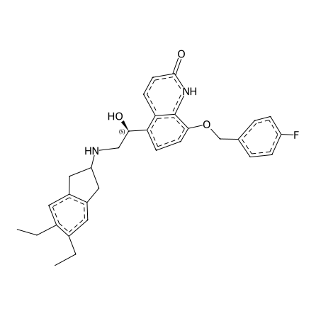 CCc1cc2c(cc1CC)CC(NC[C@@H](O)c1ccc(OCc3ccc(F)cc3)c3[nH]c(=O)ccc13)C2